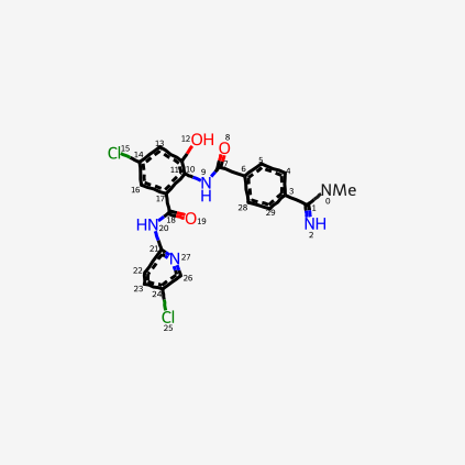 CNC(=N)c1ccc(C(=O)Nc2c(O)cc(Cl)cc2C(=O)Nc2ccc(Cl)cn2)cc1